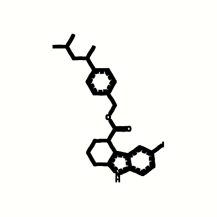 CC(C)CC(C)c1ccc(COC(=O)C2CCCc3[nH]c4ccc(I)cc4c32)cc1